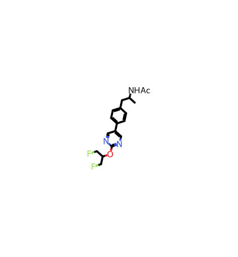 CC(=O)NC(C)Cc1ccc(-c2cnc(OC(CF)CF)nc2)cc1